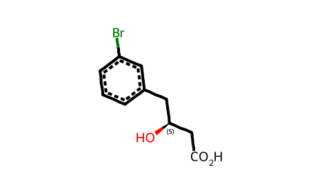 O=C(O)C[C@@H](O)Cc1cccc(Br)c1